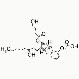 CCCCC[C@H](O)CC[C@@H]1[C@H]2Cc3cccc(OCC(=O)O)c3C[C@H]2C[C@H]1OC(=O)CCCO